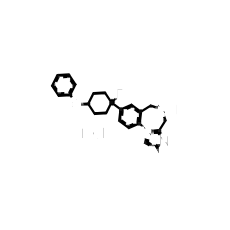 Cl.FC1(c2ccc3c(c2)CNCc2nncn2-3)CCC(Oc2ccccc2)CC1